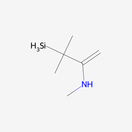 C=C(NC)C(C)(C)[SiH3]